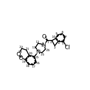 O=C(C1Cc2c(Cl)cccc21)N1CCN(c2cccc3c2CCOO3)CC1